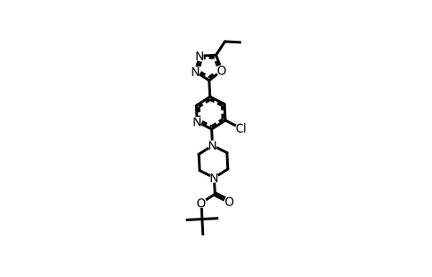 CCc1nnc(-c2cnc(N3CCN(C(=O)OC(C)(C)C)CC3)c(Cl)c2)o1